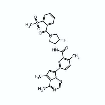 Cc1ccc(-c2cc(C(F)(F)F)c3c(N)ncnn23)cc1C(=O)N[C@@H]1CN(C(=O)c2ccccc2S(C)(=O)=O)C[C@@H]1F